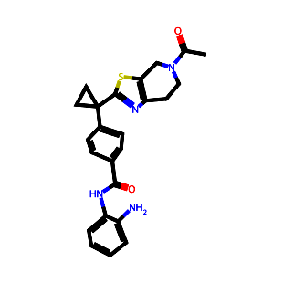 CC(=O)N1CCc2nc(C3(c4ccc(C(=O)Nc5ccccc5N)cc4)CC3)sc2C1